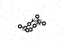 N#Cc1ccc(-c2cc(-c3ccccc3)nc3ccc4ccc(-c5ccc(-c6nc(-c7ccccc7)nc(-c7ccccc7)n6)cc5)cc4c23)cc1